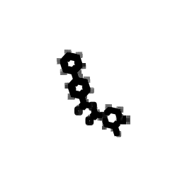 CC1CN(C(=O)OC(=O)c2ccc(-c3ccccc3)cc2)CCN1